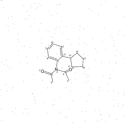 CC(=O)N(C(C)=O)c1ccccc1C1CCCC1